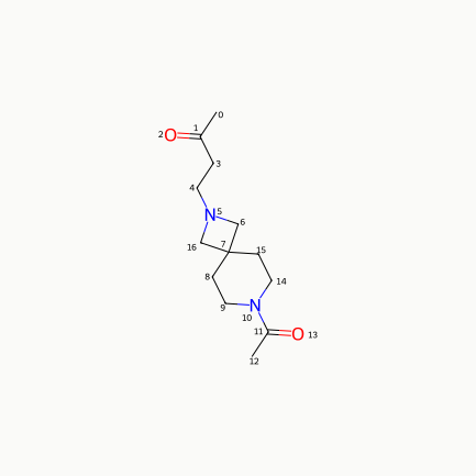 CC(=O)CCN1CC2(CCN(C(C)=O)CC2)C1